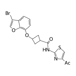 CC(=O)c1csc(NC(=O)C2CC(Oc3cccc4c(Br)coc34)C2)n1